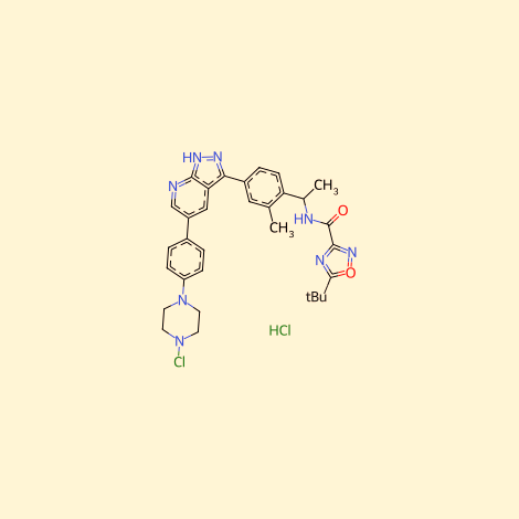 Cc1cc(-c2n[nH]c3ncc(-c4ccc(N5CCN(Cl)CC5)cc4)cc23)ccc1C(C)NC(=O)c1noc(C(C)(C)C)n1.Cl